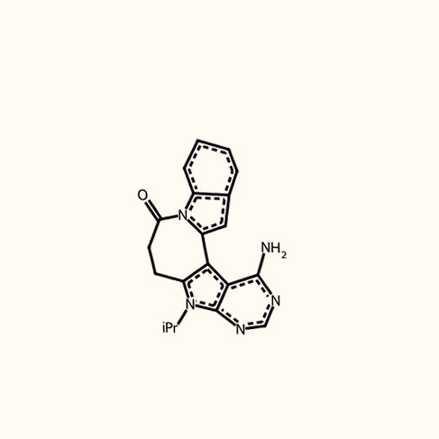 CC(C)n1c2c(c3c(N)ncnc31)-c1cc3ccccc3n1C(=O)CC2